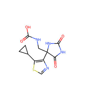 O=C(O)NCC1(c2ncsc2C2CC2)NC(=O)NC1=O